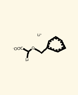 [Li+].[Li][CH](OCc1ccccc1)C(=O)[O-]